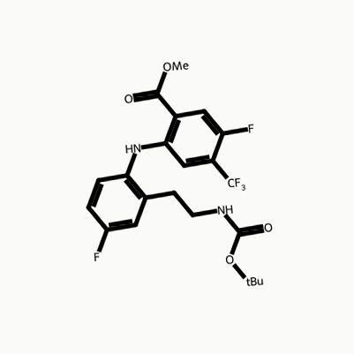 COC(=O)c1cc(F)c(C(F)(F)F)cc1Nc1ccc(F)cc1CCNC(=O)OC(C)(C)C